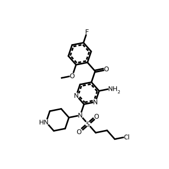 COc1ccc(F)cc1C(=O)c1cnc(N(C2CCNCC2)S(=O)(=O)CCCCl)nc1N